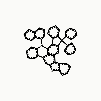 c1ccc(C2(c3ccccc3)c3ccccc3-c3c(N(c4ccccc4-c4ccc5c(c4)sc4ccccc45)c4cccc5ccccc45)cccc32)cc1